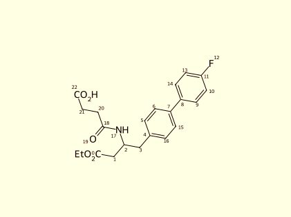 CCOC(=O)CC(Cc1ccc(-c2ccc(F)cc2)cc1)NC(=O)CCC(=O)O